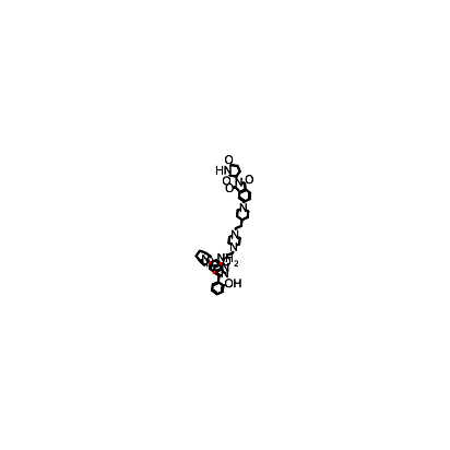 Nc1nnc(-c2ccccc2O)cc1N1CC2CCC(C1)N2c1cccc(OCCN2CCN(CCC3CCN(c4ccc5c(c4)C(=O)N(C4CCC(=O)NC4=O)C5=O)CC3)CC2)c1